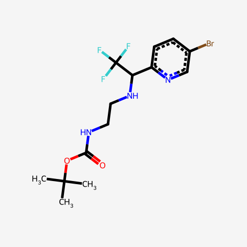 CC(C)(C)OC(=O)NCCNC(c1ccc(Br)cn1)C(F)(F)F